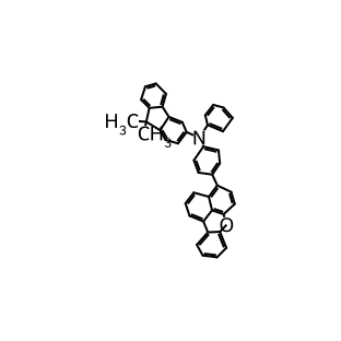 CC1(C)c2ccccc2-c2cc(N(c3ccccc3)c3ccc(-c4ccc5c6c(cccc46)-c4ccccc4O5)cc3)ccc21